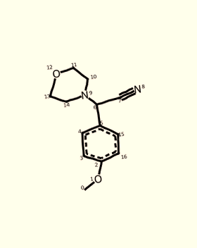 COc1ccc(C(C#N)N2CCOCC2)cc1